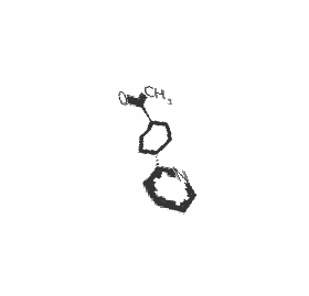 CC(=O)[C@H]1CC[C@H](c2ccccn2)CC1